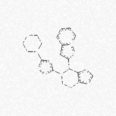 c1ccn2nc(C3c4nc[nH]c4CCN3c3nnc(N4CCOCC4)o3)cc2c1